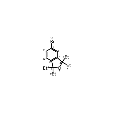 CCC1(CC)OC(CC)(CC)c2cc(Br)ccc21